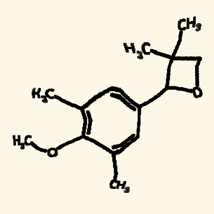 COc1c(C)cc(C2OCC2(C)C)cc1C